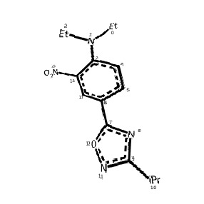 CCN(CC)c1ccc(-c2nc(C(C)C)no2)cc1[N+](=O)[O-]